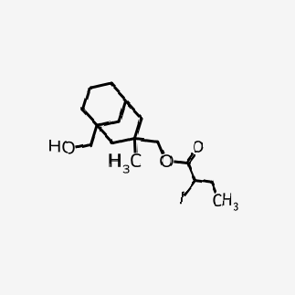 CCC(I)C(=O)OCC1(C)CC2CCCC(CO)(C2)C1